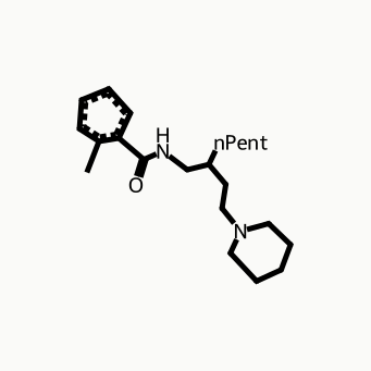 CCCCCC(CCN1CCCCC1)CNC(=O)c1ccccc1C